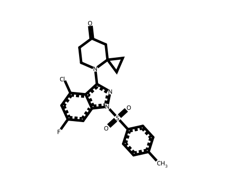 Cc1ccc(S(=O)(=O)n2nc(N3CCC(=O)CC34CC4)c3c(Cl)cc(F)cc32)cc1